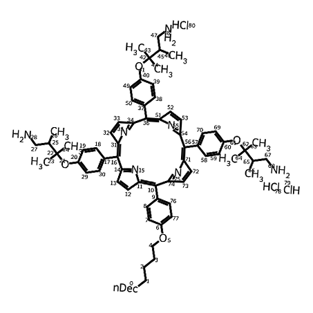 CCCCCCCCCCCCCCOc1ccc(C2=C3C=CC(=N3)C(c3ccc(OC(C)(C)C(C)CN)cc3)=C3C=CC(=N3)C(c3ccc(OC(C)(C)C(C)CN)cc3)=C3C=CC(=N3)C(c3ccc(OC(C)(C)C(C)CN)cc3)=C3C=CC2=N3)cc1.Cl.Cl.Cl